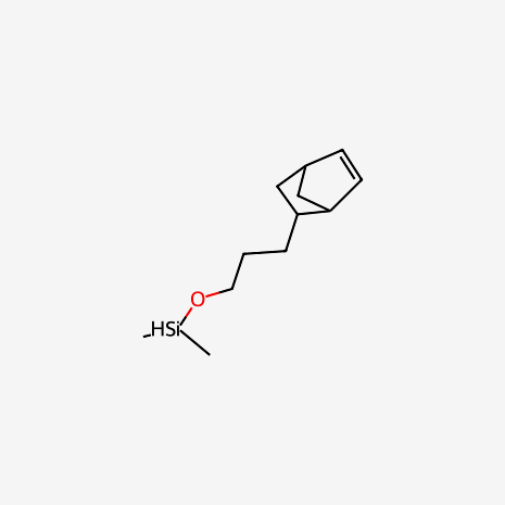 C[SiH](C)OCCCC1CC2C=CC1C2